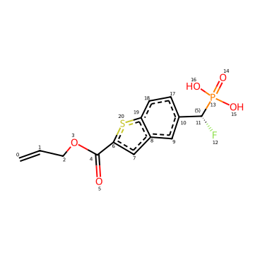 C=CCOC(=O)c1cc2cc([C@@H](F)P(=O)(O)O)ccc2s1